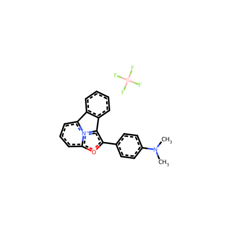 CN(C)c1ccc(-c2oc3cccc4[n+]3c2-c2ccccc2-4)cc1.F[B-](F)(F)F